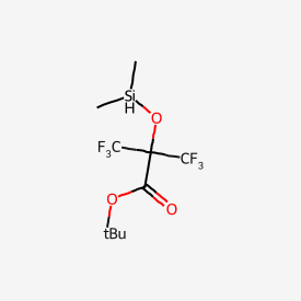 C[SiH](C)OC(C(=O)OC(C)(C)C)(C(F)(F)F)C(F)(F)F